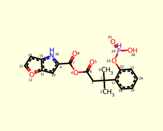 CC(C)(CC(=O)OC(=O)c1cc2occc2[nH]1)c1ccccc1O[PH](=O)O